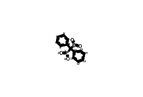 O=P(=O)C(c1ccccc1)(c1ccccc1)P(=O)=O